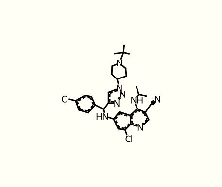 CC(C)Nc1c(C#N)cnc2c(Cl)cc(NC(c3ccc(Cl)cc3)c3cn(C4CCN(C(C)(C)C)CC4)nn3)cc12